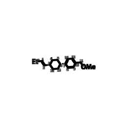 CCC=C[C@H]1CC[C@H](c2ccc(COC)cc2)CC1